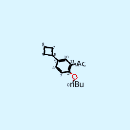 CCCCOc1ccc(C2CCC2)cc1C(C)=O